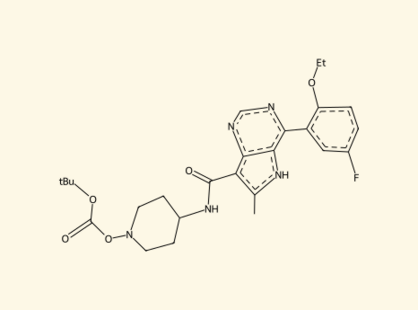 CCOc1ccc(F)cc1-c1ncnc2c(C(=O)NC3CCN(OC(=O)OC(C)(C)C)CC3)c(C)[nH]c12